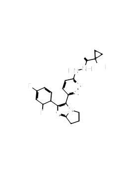 CC1(C(=O)NNc2ccc(-c3c(C4C=CC(F)=CC4F)nc4n3CCC4)nn2)CC1